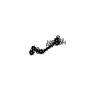 O=C(Nc1ccccc1-c1ccccc1)OC1CCN(CCCCCCCNC[C@@H](O)c2ccc(O)c3[nH]c(=O)ccc23)CC1